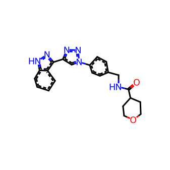 O=C(NCc1ccc(-n2cc(-c3n[nH]c4ccccc34)nn2)cc1)C1CCOCC1